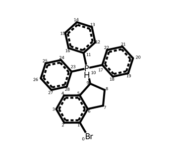 Brc1cccc2c1CCC2[PH](c1ccccc1)(c1ccccc1)c1ccccc1